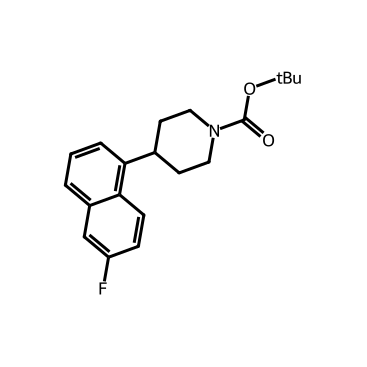 CC(C)(C)OC(=O)N1CCC(c2cccc3cc(F)ccc23)CC1